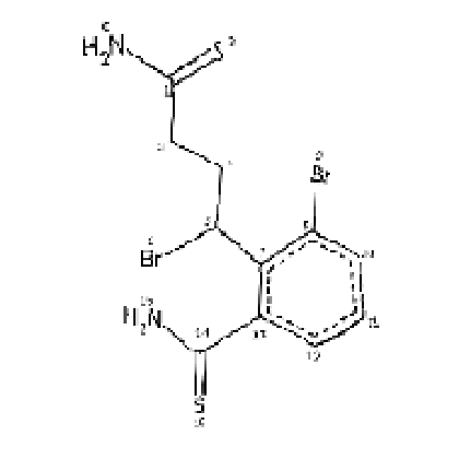 NC(=S)CCC(Br)c1c(Br)cccc1C(N)=S